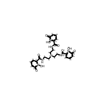 O=C(NCCN(CCNC(=O)c1cccc(=O)n1O)CCNC(=O)c1cccc(=O)n1O)c1cccc(=O)n1O